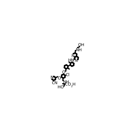 Cc1c(COc2cc(OCc3cncc(C#N)c3)c(CNC(C)(CO)C(=O)O)cc2Cl)cccc1-c1cccc(Nc2nccc3cc(CNCCO)cnc23)c1C